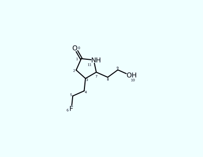 O=C1CC(CCF)C(CCO)N1